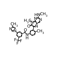 CNc1ncc2nc(-c3cc(NC(=O)c4cc(-n5cnc(C)c5)cc(C(F)(F)F)c4)ccc3C)c(=O)n(C)c2n1